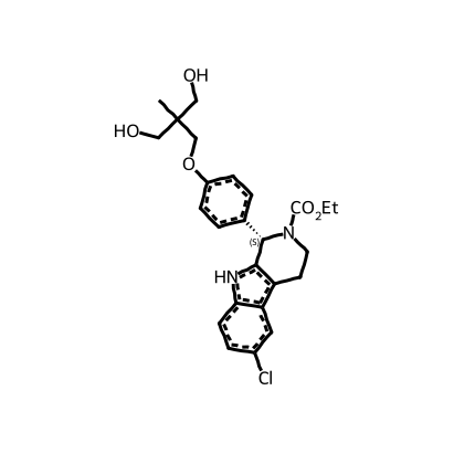 CCOC(=O)N1CCc2c([nH]c3ccc(Cl)cc23)[C@@H]1c1ccc(OCC(C)(CO)CO)cc1